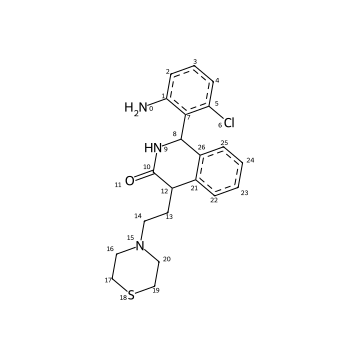 Nc1cccc(Cl)c1C1NC(=O)C(CCN2CCSCC2)c2ccccc21